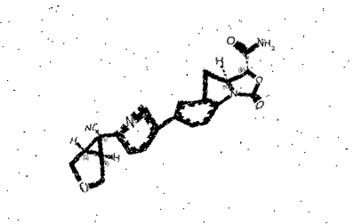 N#C[C@]1(c2ccc(-c3ccc4c(c3)C[C@H]3[C@H](C(N)=O)OC(=O)N43)cn2)[C@@H]2COC[C@@H]21